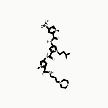 CC(C)CCn1cc(NC(=O)c2cc([N+](=O)[O-])cn2C)cc1C(=O)Nc1cc(C(=O)NCCCN2CCOCC2)n(C)c1